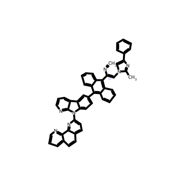 C=N/C(=C\n1cc(-c2ccccc2)nc1C)c1c2ccccc2c(-c2ccc3c(c2)c2cccnc2n3-c2ccc3ccc4cccnc4c3n2)c2ccccc12